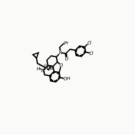 CC(C)CN(C(=O)Cc1ccc(Cl)c(Cl)c1)C1CC[C@@]2(O)[C@H]3Cc4ccc(O)c5c4[C@@]2(CCN3CC2CC2)C1O5